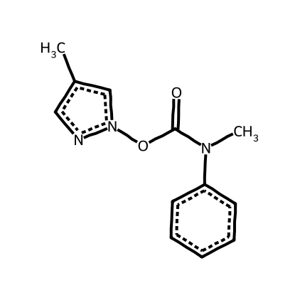 Cc1cnn(OC(=O)N(C)c2ccccc2)c1